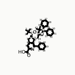 CC(C)(C)[S+]([O-])N1Cc2cc(C(=O)O)nc(-c3ccccc3)c2[C@H]1CCO[Si](c1ccccc1)(c1ccccc1)C(C)(C)C